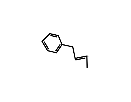 C/[C]=C/Cc1ccccc1